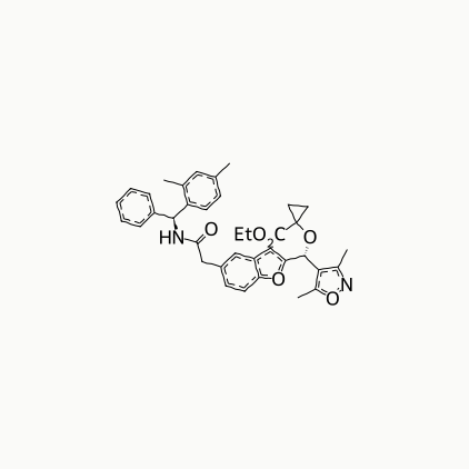 CCOC(=O)C1(O[C@@H](c2cc3cc(CC(=O)N[C@@H](c4ccccc4)c4ccc(C)cc4C)ccc3o2)c2c(C)noc2C)CC1